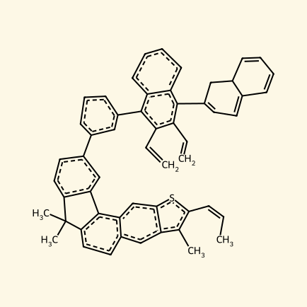 C=Cc1c(C=C)c(-c2cccc(-c3ccc4c(c3)-c3c(ccc5cc6c(C)c(/C=C\C)sc6cc35)C4(C)C)c2)c2ccccc2c1C1=CC=C2C=CC=CC2C1